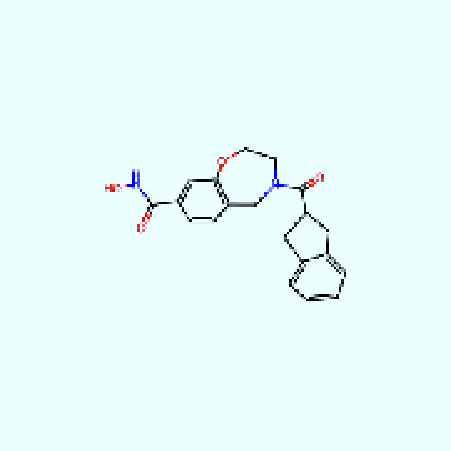 O=C(NO)c1ccc2c(c1)OCCN(C(=O)C1Cc3ccccc3C1)C2